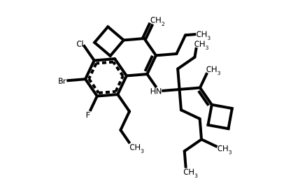 C=C(/C(CCC)=C(/NC(CCC)(CCC(C)CC)C(C)=C1CCC1)c1cc(Cl)c(Br)c(F)c1CCC)C1CCC1